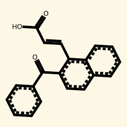 O=C(O)/C=C/c1c(C(=O)c2ccccc2)ccc2ccccc12